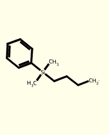 [CH2]CCC[Si](C)(C)c1ccccc1